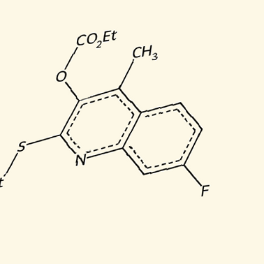 CCOC(=O)Oc1c(SCC)nc2cc(F)ccc2c1C